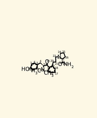 CN(C)[C@@H](Cc1ccc(O)cc1)C(=O)c1ccccc1CCCN1CCC[C@@H]1C(N)=O